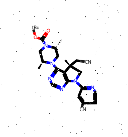 C[C@@H]1CN(c2ncnc3c2[C@](C)(CC#N)CN3c2cc(C#N)ccn2)[C@@H](C)CN1C(=O)OC(C)(C)C